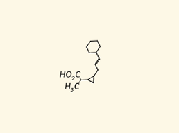 CC(C(=O)O)C1CC1CC=CC1CCCCC1